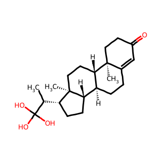 CC([C@H]1CC[C@H]2[C@@H]3CCC4=CC(=O)CC[C@]4(C)[C@H]3CC[C@]12C)C(O)(O)O